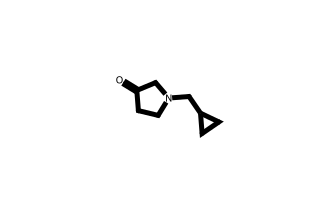 O=C1CCN(CC2CC2)C1